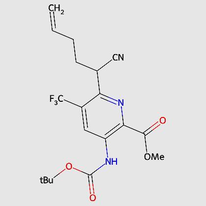 C=CCCC(C#N)c1nc(C(=O)OC)c(NC(=O)OC(C)(C)C)cc1C(F)(F)F